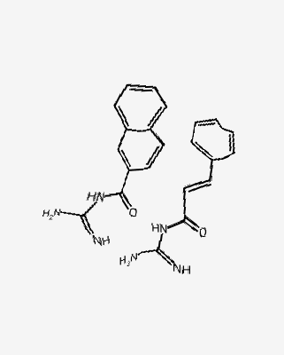 N=C(N)NC(=O)C=Cc1ccccc1.N=C(N)NC(=O)c1ccc2ccccc2c1